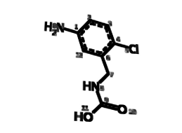 Nc1ccc(Cl)c(CNC(=O)O)c1